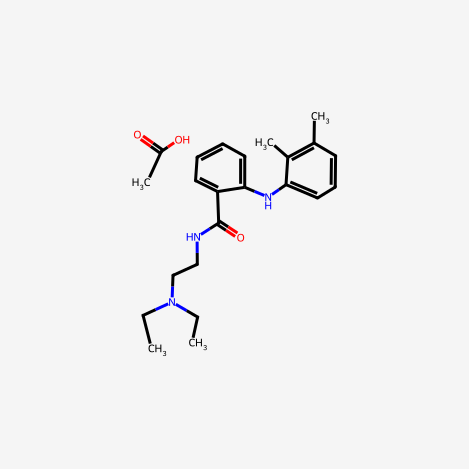 CC(=O)O.CCN(CC)CCNC(=O)c1ccccc1Nc1cccc(C)c1C